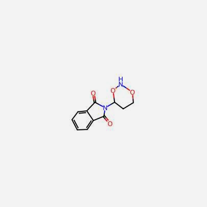 O=C1c2ccccc2C(=O)N1C1CCONO1